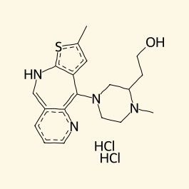 Cc1cc2c(s1)NC=c1cccnc1=C2N1CCN(C)C(CCO)C1.Cl.Cl